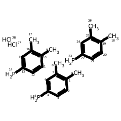 Cc1ccc(P)cc1C.Cc1ccc(P)cc1C.Cc1ccc(P)cc1C.Cl.Cl